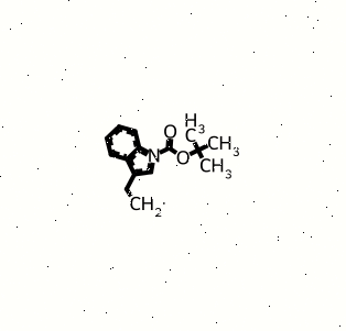 [CH2]Cc1cn(C(=O)OC(C)(C)C)c2ccccc12